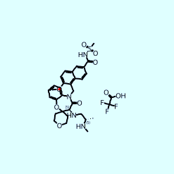 CN[C@@H](C)CN[C@@H]1C(=O)N(Cc2c(OC)ccc3cc(C(=O)NS(C)(=O)=O)ccc23)c2ccccc2OC12CCOCC2.O=C(O)C(F)(F)F